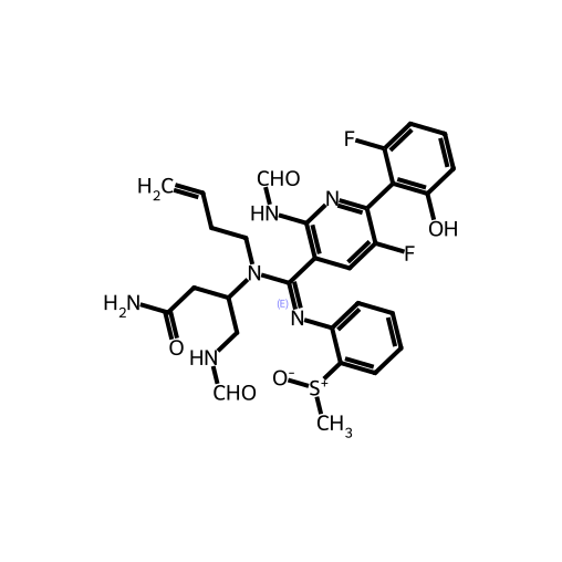 C=CCCN(/C(=N/c1ccccc1[S+](C)[O-])c1cc(F)c(-c2c(O)cccc2F)nc1NC=O)C(CNC=O)CC(N)=O